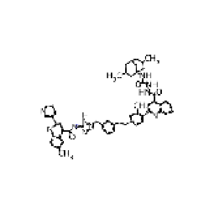 Cc1ccc2nc(-c3cccnc3)cc(C(=O)/N=c3\ncn(Cc4cccc(CCc5ccc(-c6cc(C(=O)NNC(=O)NC78CC(C)CC(CC(C)C7)C8)c7ccccc7n6)c(C)c5)c4)[nH]3)c2c1